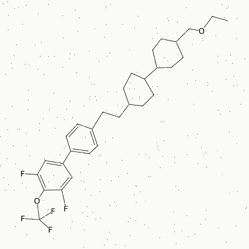 CCOCC1CCC(C2CCC(CCc3ccc(-c4cc(F)c(OC(F)(F)F)c(F)c4)cc3)CC2)CC1